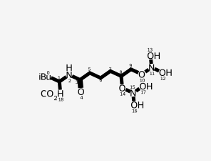 CCC(C)C(NC(=O)CCCC(CON(O)O)ON(O)O)C(=O)O